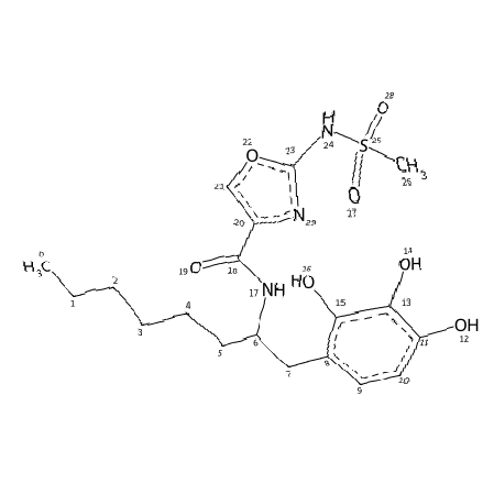 CCCCCCC(Cc1ccc(O)c(O)c1O)NC(=O)c1coc(NS(C)(=O)=O)n1